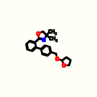 CC1(C)COC(c2ccccc2-c2ccc(COC3CCCO3)cc2)=N1